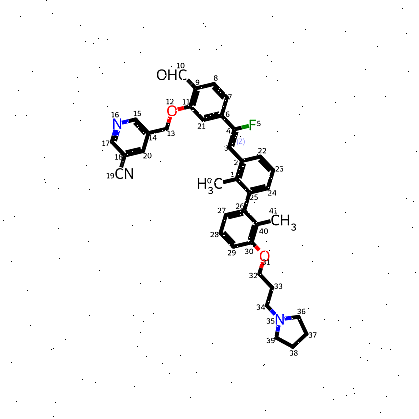 Cc1c(/C=C(\F)c2ccc(C=O)c(OCc3cncc(C#N)c3)c2)cccc1-c1cccc(OCCCN2CCCC2)c1C